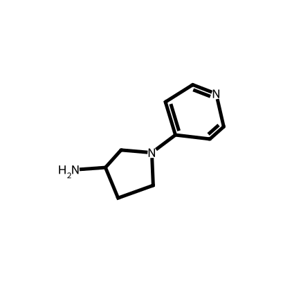 NC1CCN(c2ccncc2)C1